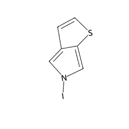 In1cc2ccsc2c1